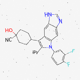 CC(C)c1c(C2CCC(O)(C#N)CC2)c2cc3[nH]cnc3cc2n1-c1ccc(F)c(F)c1